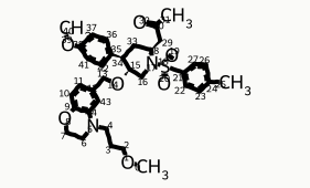 COCCCN1CCOc2ccc(CO[C@H]3CN(S(=O)(=O)c4ccc(C)cc4)[C@H](CC(C)=O)C[C@@H]3c3ccc(OC)cc3)cc21